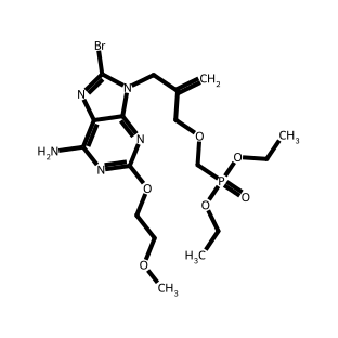 C=C(COCP(=O)(OCC)OCC)Cn1c(Br)nc2c(N)nc(OCCOC)nc21